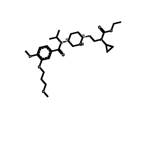 CCOC(=O)N(CC[C@H]1CC[C@@H](N(C(=O)c2ccc(OC)c(OCCCOC)c2)C(C)C)CN1)C1CC1